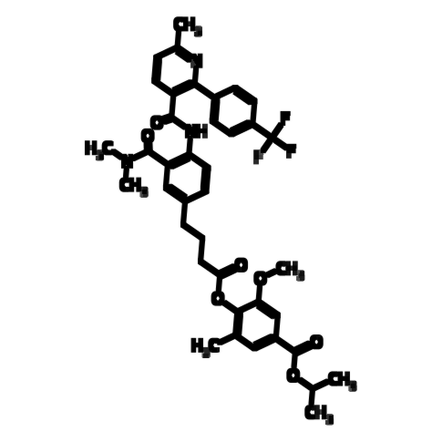 COc1cc(C(=O)OC(C)C)cc(C)c1OC(=O)CCCc1ccc(NC(=O)c2ccc(C)nc2-c2ccc(C(F)(F)F)cc2)c(C(=O)N(C)C)c1